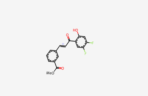 COC(=O)c1cccc(/C=C/C(=O)c2cc(F)c(F)cc2O)c1